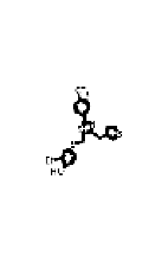 CCc1cc(SCc2sc(-c3ccc(C(F)(F)F)cc3)nc2Cc2ccsc2)ccc1O